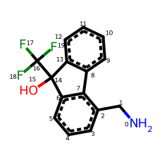 NCc1cccc2c1-c1ccccc1C2(O)C(F)(F)F